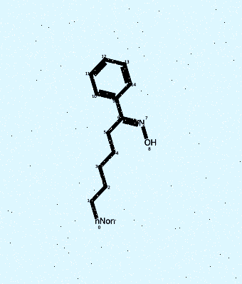 CCCCCCCCCCCCCCC(=NO)c1ccccc1